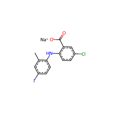 Cc1cc(I)ccc1Nc1ccc(Cl)cc1C(=O)[O-].[Na+]